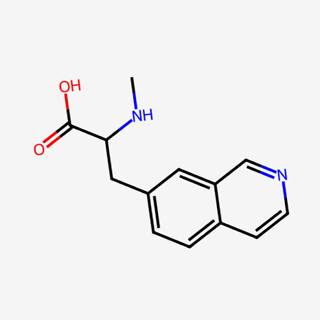 CNC(Cc1ccc2ccncc2c1)C(=O)O